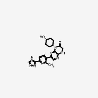 Cc1nc(-c2nnc[nH]2)ccc1-c1cnc2c(n1)N([C@H]1CC[C@@H](O)CC1)C(=O)CN2